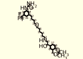 CC1(C)OCc2cc([C@@H](O)CNCCCCCCOCCCCc3cc(NC(N)=O)cc(C(F)(F)F)c3)ccc2O1